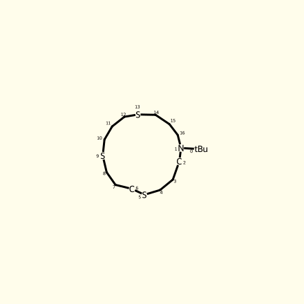 CC(C)(C)N1CCCSCCCSCCCSCCC1